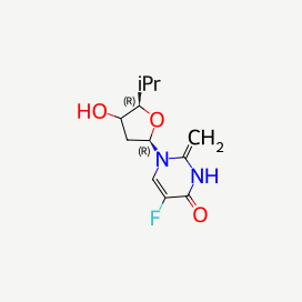 C=C1NC(=O)C(F)=CN1[C@H]1CC(O)[C@@H](C(C)C)O1